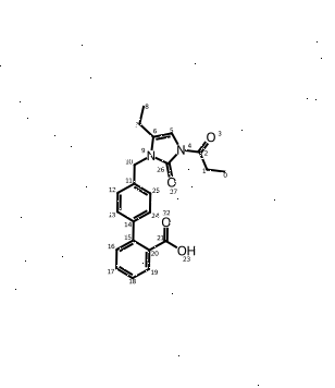 CCC(=O)n1cc(CC)n(Cc2ccc(-c3ccccc3C(=O)O)cc2)c1=O